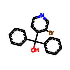 OC(c1ccccc1)(c1ccccc1)c1ccncc1Br